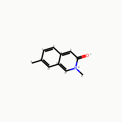 Cc1ccc2cc(=O)n(C)cc2c1